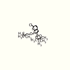 CC1(C)OB(c2cc3ccc(Cl)nc3n2COCC[Si](C)(C)C)OC1(C)C